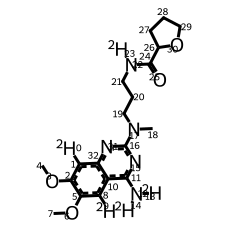 [2H]c1c(OC)c(OC)c([2H])c2c(N([2H])[2H])nc(N(C)CCCN([2H])C(=O)C3CCCO3)nc12